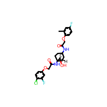 Cc1cc(F)ccc1OCC(=O)NC12CCC(NC(=O)COc3ccc(Cl)c(F)c3)(CC1)[C@@H](O)C2